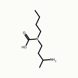 CCCCN(CCC(C)N)C(=O)O